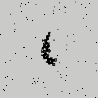 CSCCNc1ncc(C(=O)NC2=NN(c3ccc(Cl)c(Cl)c3)CC2)c(C)n1